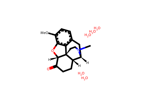 COc1ccc2c3c1O[C@H]1C(=O)CC[C@H]4[C@@H](C2)N(C)CC[C@]314.O.O.O.O.O